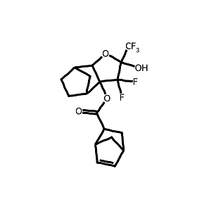 O=C(OC12C3CCC(C3)C1OC(O)(C(F)(F)F)C2(F)F)C1CC2C=CC1C2